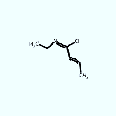 CC=C/C(Cl)=N\CC